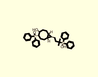 CC(C)(CC[C@@H]1[C@H]2CC[C@H](O)[C@@H](P(=O)(c3ccccc3)c3ccccc3)CC[C@H]21)[Si](O)(c1ccccc1)c1ccccc1